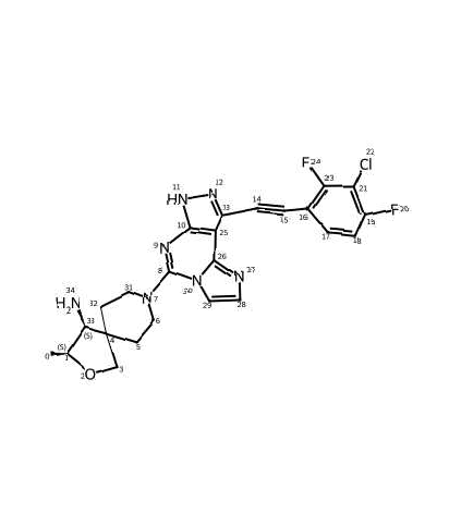 C[C@@H]1OCC2(CCN(c3nc4[nH]nc(C#Cc5ccc(F)c(Cl)c5F)c4c4nccn34)CC2)[C@@H]1N